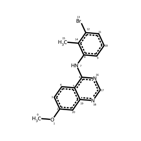 COc1ccc2c(Nc3cccc(Br)c3C)ncnc2c1